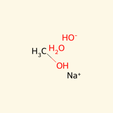 CO.O.[Na+].[OH-]